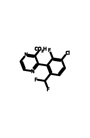 O=C(O)c1nccnc1-c1c(C(F)F)ccc(Cl)c1F